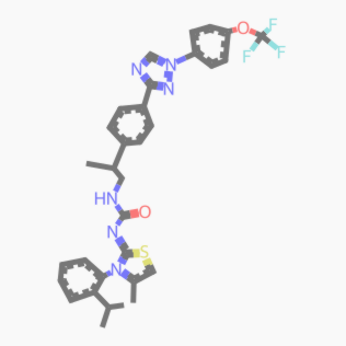 Cc1cs/c(=N\C(=O)NCC(C)c2ccc(-c3ncn(-c4ccc(OC(F)(F)F)cc4)n3)cc2)n1-c1ccccc1C(C)C